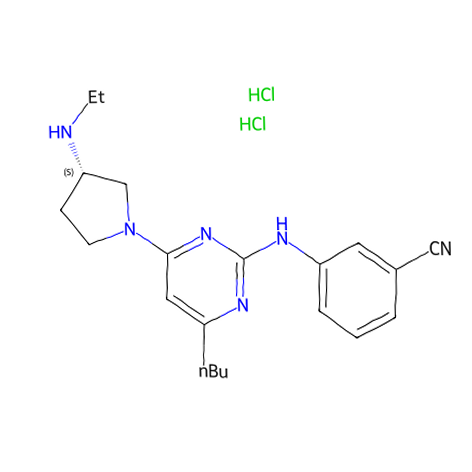 CCCCc1cc(N2CC[C@H](NCC)C2)nc(Nc2cccc(C#N)c2)n1.Cl.Cl